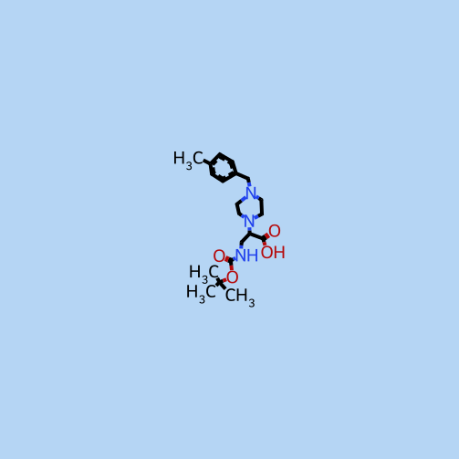 Cc1ccc(CN2CCN(C(CNC(=O)OC(C)(C)C)C(=O)O)CC2)cc1